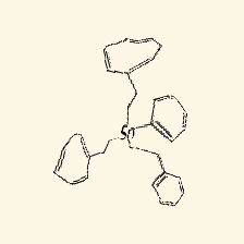 c1ccc(C[CH2][Sn]([CH2]Cc2ccccc2)([CH2]Cc2ccccc2)[c]2ccccc2)cc1